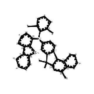 Cc1cccc(C)c1N(c1ccc2c(c1)C(C)(C)c1cc(C)c3ccccc3c1-2)c1cccc2c1sc1ccccc12